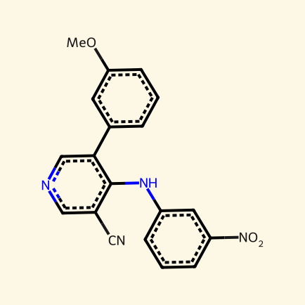 COc1cccc(-c2cncc(C#N)c2Nc2cccc([N+](=O)[O-])c2)c1